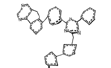 c1ccc(-c2cccc(-c3nc(-c4ccccc4)nc(-c4cccc(-c5cccc6c5Cc5cncnc5-6)c4)n3)c2)cc1